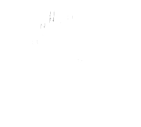 CCCCCCCOc1ccc2c(=O)n(C)[nH]c(=O)c2c1